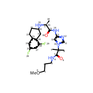 COCCCNC(=O)C(C)(C)n1cnc(NC(=O)[C@H](C)NC2CCc3cc(F)cc(F)c3C2)c1